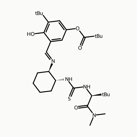 CN(C)C(=O)[C@@H](NC(=S)N[C@@H]1CCCC[C@H]1/N=C/c1cc(OC(=O)C(C)(C)C)cc(C(C)(C)C)c1O)C(C)(C)C